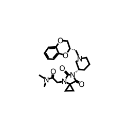 CN(C)C(=O)CN1C(=O)N([C@H]2CCCN(C[C@H]3COc4ccccc4O3)C2)C(=O)C12CC2